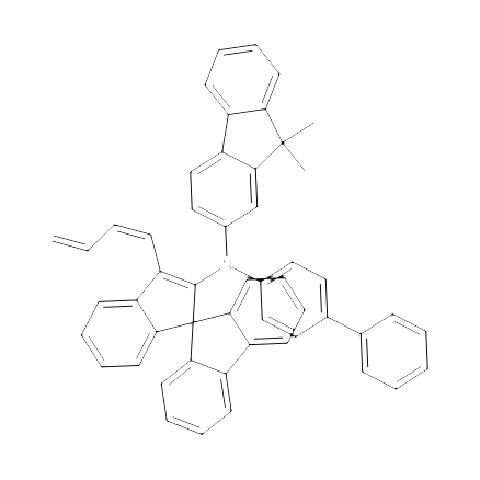 C=C/C=C\C1=C(N(c2ccc(-c3ccccc3)cc2)c2ccc3c(c2)C(C)(C)c2ccccc2-3)C2(c3ccccc31)c1ccccc1-c1ccccc12